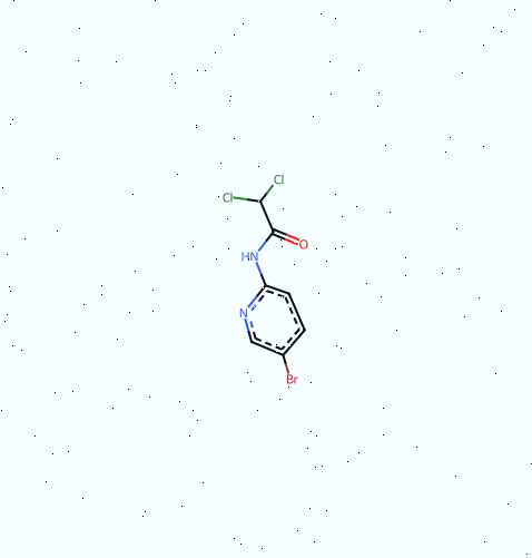 O=C(Nc1ccc(Br)cn1)C(Cl)Cl